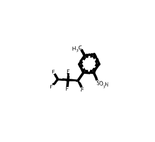 Cc1ccc(S(=O)(=O)O)c(C(F)C(F)(F)C(F)F)c1